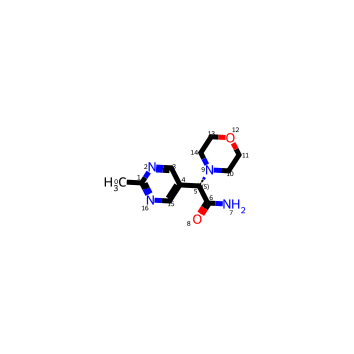 Cc1ncc([C@@H](C(N)=O)N2CCOCC2)cn1